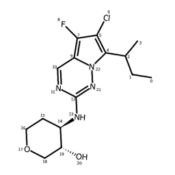 CCC(C)c1c(Cl)c(F)c2cnc(N[C@@H]3CCOC[C@H]3O)nn12